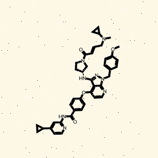 COc1ccc(Cn2nc(N[C@@H]3CCN(C(=O)/C=C/CN(C)C4CC4)C3)c3c(Oc4ccc(C(=O)Nc5cc(C6CC6)ccn5)cc4)ccnc32)cc1